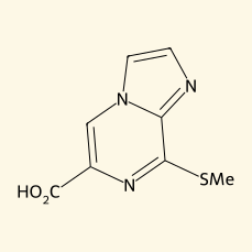 CSc1nc(C(=O)O)cn2ccnc12